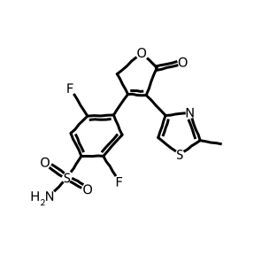 Cc1nc(C2=C(c3cc(F)c(S(N)(=O)=O)cc3F)COC2=O)cs1